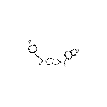 O=C(/C=C/c1ccc(C(F)(F)F)cc1)N1CC2CN(C(=O)c3ccc4[nH]nnc4c3)CC2C1